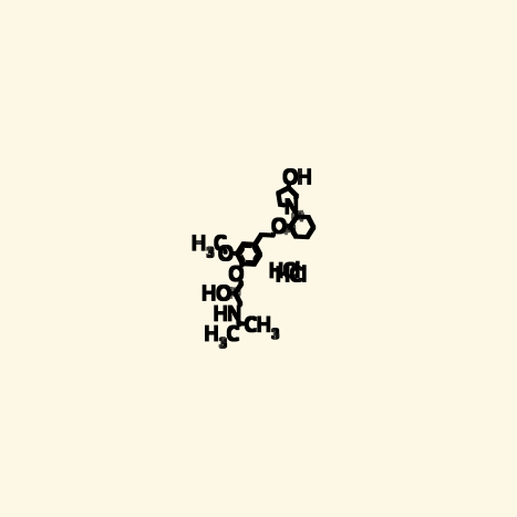 COc1cc(CCO[C@@H]2CCCC[C@H]2N2CCC(O)C2)ccc1OC[C@H](O)CNC(C)C.Cl.Cl